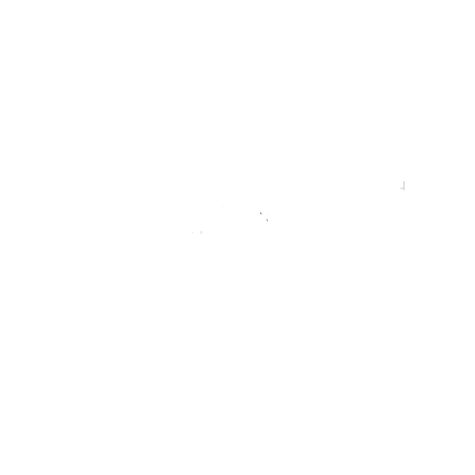 O=C(NCCCS)OCc1ccccc1